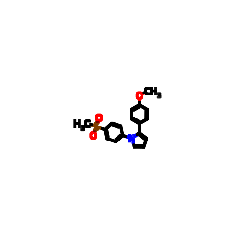 COc1ccc(-c2cccn2-c2ccc(S(C)(=O)=O)cc2)cc1